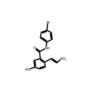 O=C(Nc1ccc(Br)cc1)c1cc(O)ccc1C=C[N+](=O)[O-]